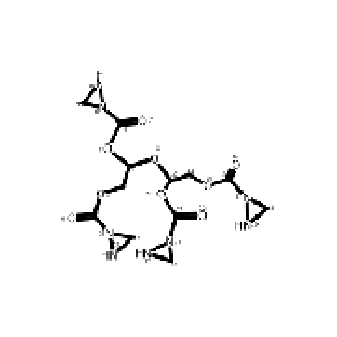 O=C(OCC(OC(=O)N1CN1)OC(COC(=O)N1CN1)OC(=O)N1CN1)N1CN1